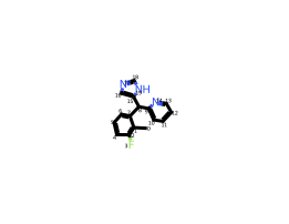 Cc1c(F)cccc1C(c1ccccn1)c1cnc[nH]1